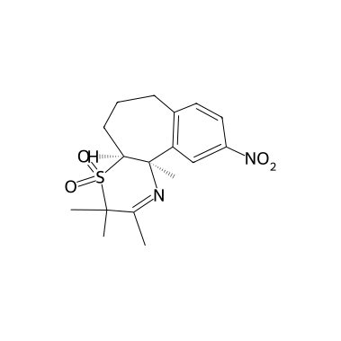 CC1=N[C@]2(C)c3cc([N+](=O)[O-])ccc3CCC[C@@H]2S(=O)(=O)C1(C)C